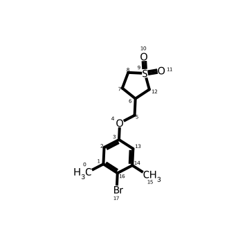 Cc1cc(OCC2CCS(=O)(=O)C2)cc(C)c1Br